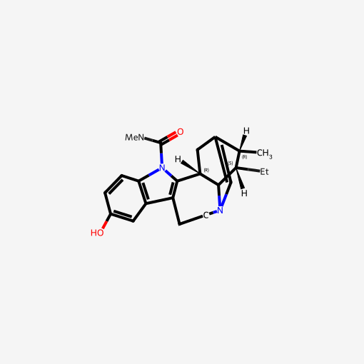 CC[C@@H]1C2[C@H]3CC(=CN2CCc2c3n(C(=O)NC)c3ccc(O)cc23)[C@@H]1C